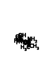 CC(C)n1cc(N)c2cc(-c3nc(C(F)(F)F)c(C(=O)O)s3)ccc21